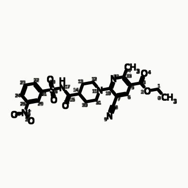 CCOC(=O)c1cc(C#N)c(N2CCC(C(=O)NS(=O)(=O)c3cccc([N+](=O)[O-])c3)CC2)nc1C